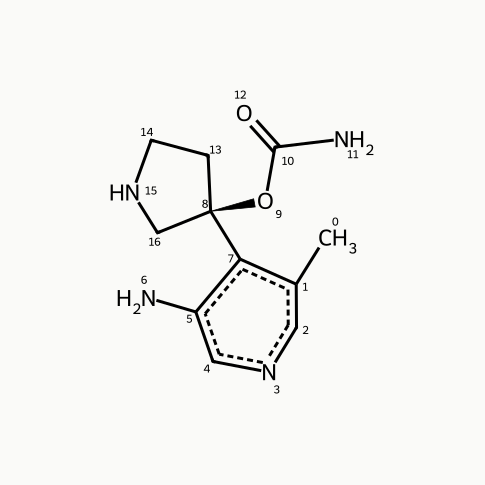 Cc1cncc(N)c1[C@@]1(OC(N)=O)CCNC1